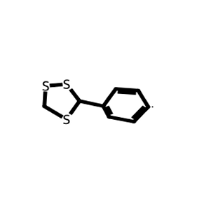 [c]1ccc(C2SCSS2)cc1